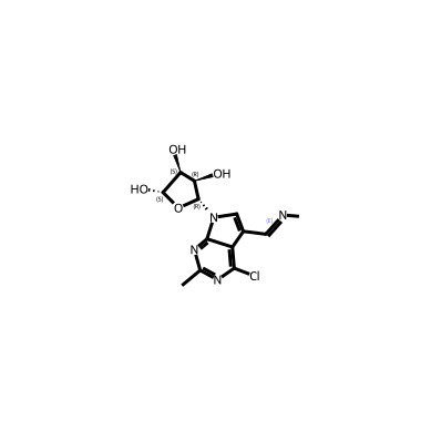 C/N=C/c1cn([C@@H]2O[C@H](O)[C@@H](O)[C@H]2O)c2nc(C)nc(Cl)c12